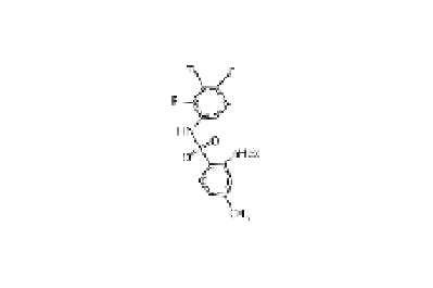 CCCCCCc1cc(C)ccc1S(=O)(=O)Nc1ccc(F)[c]([Ti])c1F